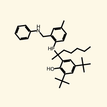 CCCCCC(C)(Pc1ccc(C)cc1CNc1ccccc1)c1cc(C(C)(C)C)cc(C(C)(C)C)c1O